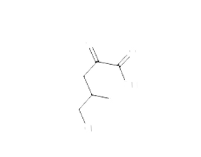 C=C(CC(Cl)CCl)C(=O)O